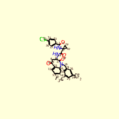 O=C(NC1(C(=O)N[C@@H]2CC(=O)c3ccccc3N(Cc3cc(C(F)(F)F)cc(C(F)(F)F)c3)C2=O)CC1)c1ccc(Cl)cc1